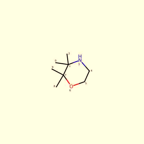 CC1(C)NCCOC1(C)C